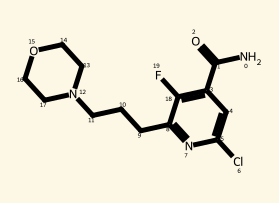 NC(=O)c1cc(Cl)nc(CCCN2CCOCC2)c1F